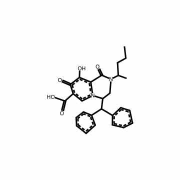 CCCC(C)N1CC(C(c2ccccc2)c2ccccc2)n2cc(C(=O)O)c(=O)c(O)c2C1=O